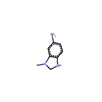 CN1CNc2ccc(N)cc21